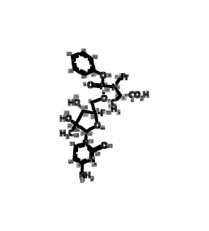 CC(C)N([C@@H](C)C(=O)O)[P@](=O)(OC[C@@]1(F)O[C@@H](n2ccc(N)nc2=O)[C@](C)(O)[C@@H]1O)Oc1ccccc1